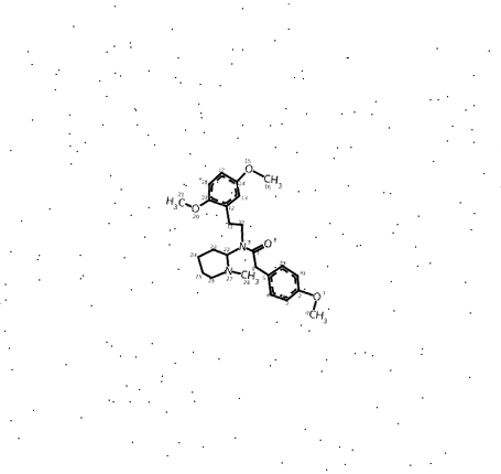 COc1ccc(CC(=O)N(CCc2cc(OC)ccc2OC)C2CCCCN2C)cc1